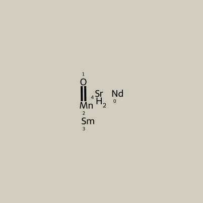 [Nd].[O]=[Mn].[Sm].[SrH2]